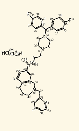 Cl.Cl.Cl.O=C(NCCN1CCN(C(c2ccc(F)cc2)c2ccc(F)cc2)CC1)c1ccc2c(c1)CN(Cc1ccccc1)CCC2